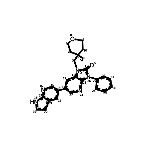 O=c1n(CC2(F)CCOCC2)c2cc(-c3cnc4[nH]ccc4c3)cnc2n1-c1ccccc1